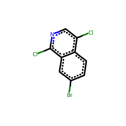 Clc1cnc(Cl)c2cc(Br)ccc12